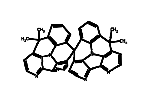 CC1(C)c2cccc3c2-n2c4c1ccnc4c1nccc(c12)C31c2cccc3c2-n2c4c(ccnc4c4nccc1c42)C3(C)C